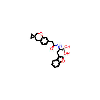 O=C(Cc1ccc2c(c1)OCC1(CC1)C2)NC(Cc1coc2ccccc12)B(O)O